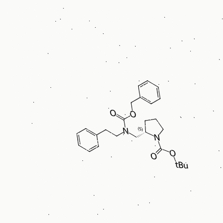 CC(C)(C)OC(=O)N1CCC[C@H]1CN(CCc1ccccc1)C(=O)OCc1ccccc1